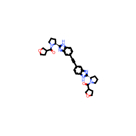 O=C(C1CCOC1)N1CCC[C@H]1c1nc2cc(C#Cc3ccc4[nH]c([C@@H]5CCCN5C(=O)C5CCOC5)nc4c3)ccc2[nH]1